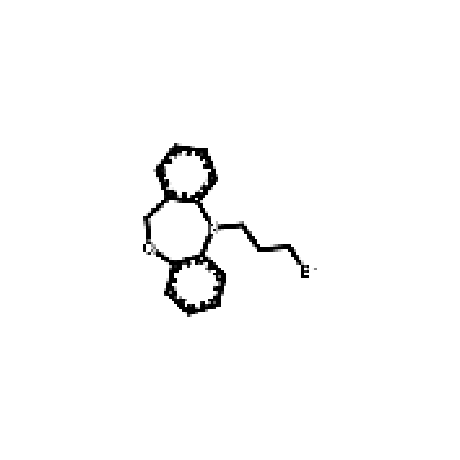 BrCCCN1c2ccccc2COc2ccccc21